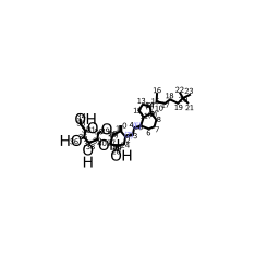 C=C1/C(=C\C=C2/CCC[C@@]3(C)C2CC[C@@H]3C(C)CCCC(C)(C)C)C[C@@H](O)C[C@@H]1OC1OC(CO)C(O)C(O)C1O